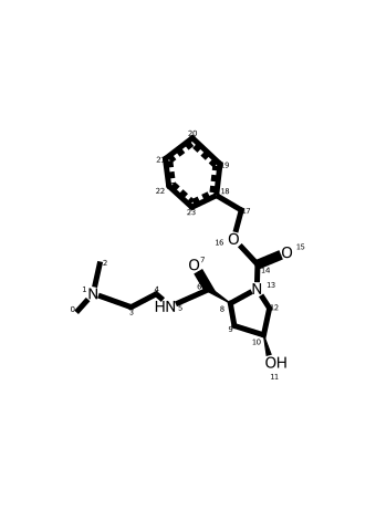 CN(C)CCNC(=O)[C@@H]1C[C@H](O)CN1C(=O)OCc1ccccc1